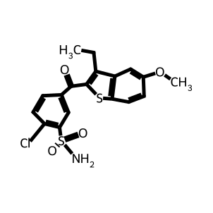 CCc1c(C(=O)c2ccc(Cl)c(S(N)(=O)=O)c2)sc2ccc(OC)cc12